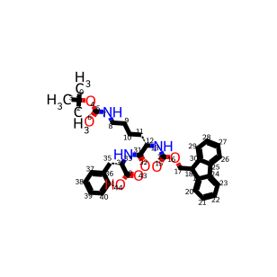 CC(C)(C)OC(=O)NCCCC[C@H](NC(=O)OCC1c2ccccc2-c2ccccc21)C(=O)N[C@@H](Cc1ccccc1)C(=O)O